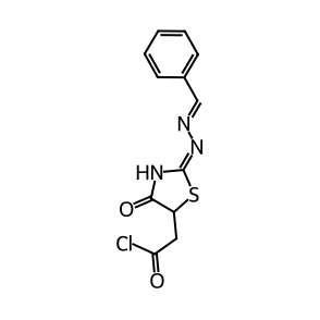 O=C(Cl)CC1SC(=NN=Cc2ccccc2)NC1=O